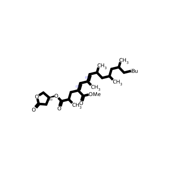 CCC(C)CC(C)CC(C)CC(C)/C=C(C)/C=C(/CC(C)C(=O)O[C@@H]1COC(=O)C1)C(=O)OC